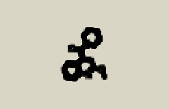 COc1cc(C(=O)N2CCCCC2)c2ccccc2n1